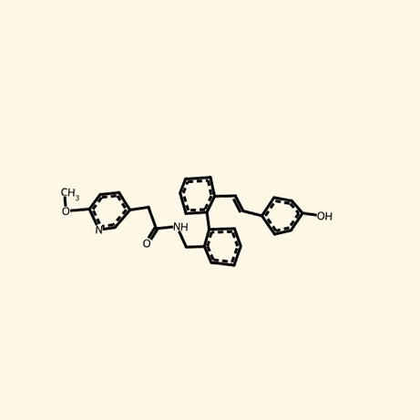 COc1ccc(CC(=O)NCc2ccccc2-c2ccccc2/C=C/c2ccc(O)cc2)cn1